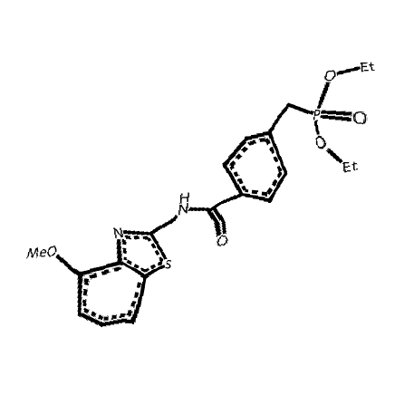 CCOP(=O)(Cc1ccc(C(=O)Nc2nc3c(OC)cccc3s2)cc1)OCC